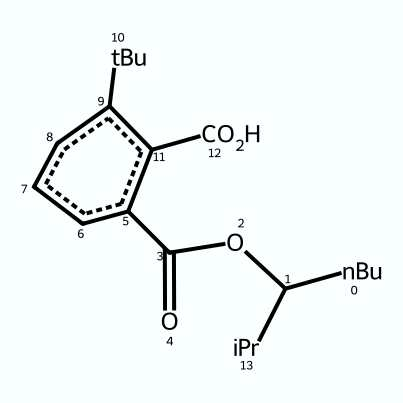 CCCCC(OC(=O)c1cccc(C(C)(C)C)c1C(=O)O)C(C)C